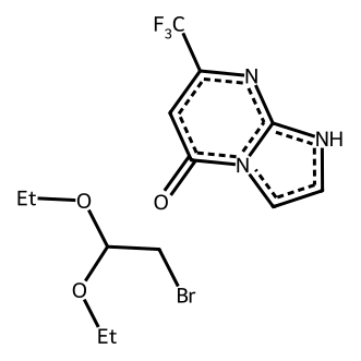 CCOC(CBr)OCC.O=c1cc(C(F)(F)F)nc2[nH]ccn12